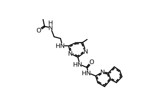 CC(=O)NCCNc1cc(C)nc(NC(=O)Nc2ccc3ccccc3n2)n1